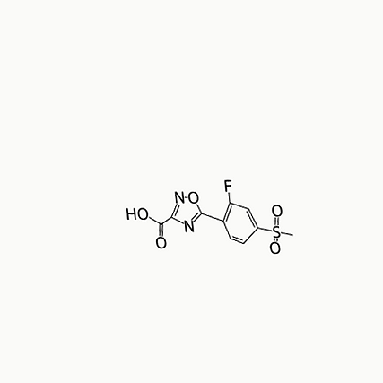 CS(=O)(=O)c1ccc(-c2nc(C(=O)O)no2)c(F)c1